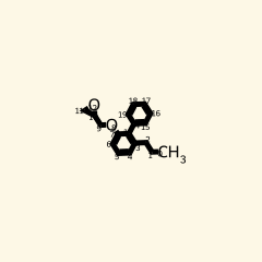 CCCc1cccc(OCC2CO2)c1-c1ccccc1